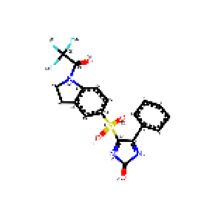 O=C1N=C(c2ccccc2)C(S(=O)(=O)c2ccc3c(c2)CCN3C(=O)C(F)(F)F)=N1